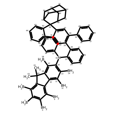 Bc1c(B)c(B)c2c(c1B)-c1c(B)c(B)c(N(c3ccccc3)c3ccccc3-c3cc4c(cc3-c3ccccc3)C3(c5ccccc5-4)C4CC5CC(C4)CC3C5)c(B)c1C2(C)C